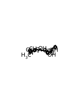 Cc1cc(=O)n(C)c(-c2ccc(OCC(O)CCCOc3ccc(O)c(C(=O)NNCc4ccccc4)c3)cc2)n1